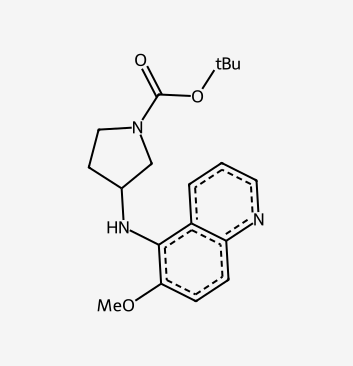 COc1ccc2ncccc2c1NC1CCN(C(=O)OC(C)(C)C)C1